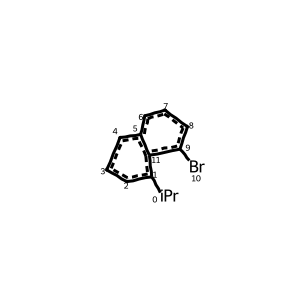 CC(C)c1cccc2cccc(Br)c12